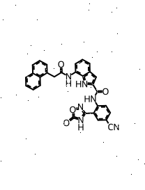 N#Cc1ccc(NC(=O)c2cc3cccc(NC(=O)Cc4cccc5ccccc45)c3[nH]2)c(-c2noc(=O)[nH]2)c1